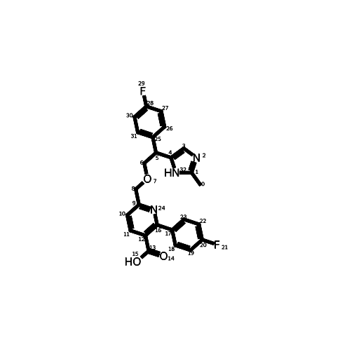 Cc1ncc(C(COCc2ccc(C(=O)O)c(-c3ccc(F)cc3)n2)c2ccc(F)cc2)[nH]1